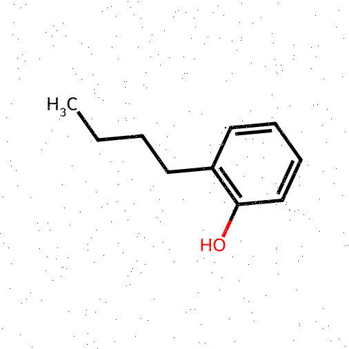 CCCCc1[c]cccc1O